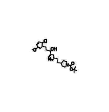 COc1ccc(Cl)c(CCC(O)c2cncc(CCC3CCN(C(=O)OC(C)(C)C)CC3)c2)c1